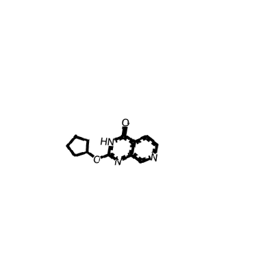 O=c1[nH]c(OC2CCCC2)nc2cnccc12